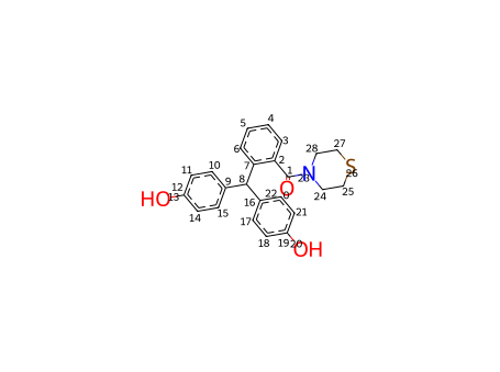 O=C(c1ccccc1C(c1ccc(O)cc1)c1ccc(O)cc1)N1CCSCC1